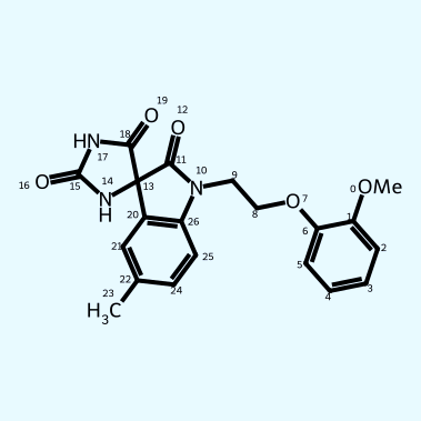 COc1ccccc1OCCN1C(=O)C2(NC(=O)NC2=O)c2cc(C)ccc21